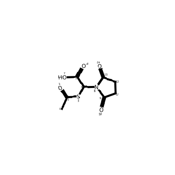 CC(=O)SC(C(=O)O)N1C(=O)CCC1=O